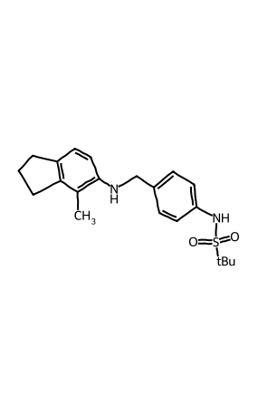 Cc1c(NCc2ccc(NS(=O)(=O)C(C)(C)C)cc2)ccc2c1CCC2